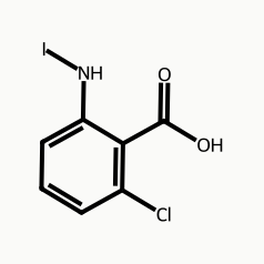 O=C(O)c1c(Cl)cccc1NI